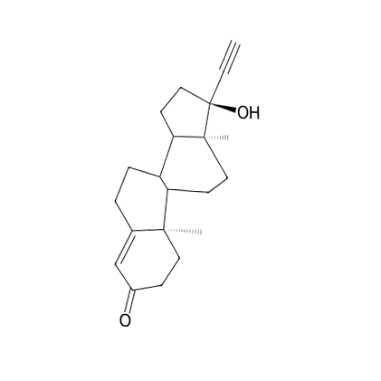 C#C[C@@]1(O)CCC2C3CCC4=CC(=O)CC[C@]4(C)C3CC[C@@]21C